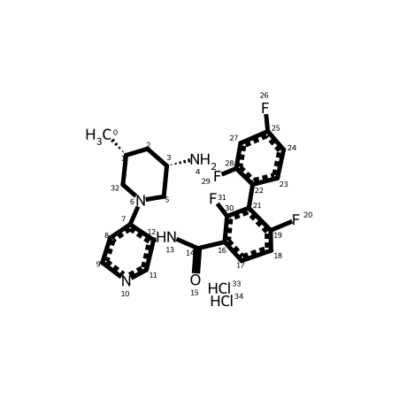 C[C@@H]1C[C@H](N)CN(c2ccncc2NC(=O)c2ccc(F)c(-c3ccc(F)cc3F)c2F)C1.Cl.Cl